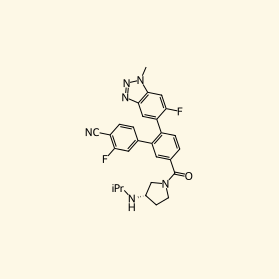 CC(C)N[C@H]1CCN(C(=O)c2ccc(-c3cc4nnn(C)c4cc3F)c(-c3ccc(C#N)c(F)c3)c2)C1